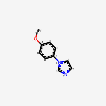 CC(C)Oc1ccc(-n2ccnc2)cc1